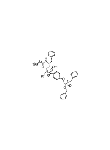 CC(C)CN(C[C@@H](O)[C@H](Cc1ccccc1)NC(=O)OC(C)(C)C)S(=O)(=O)c1ccc(OCP(=O)(OCc2ccccc2)OCc2ccccc2)cc1